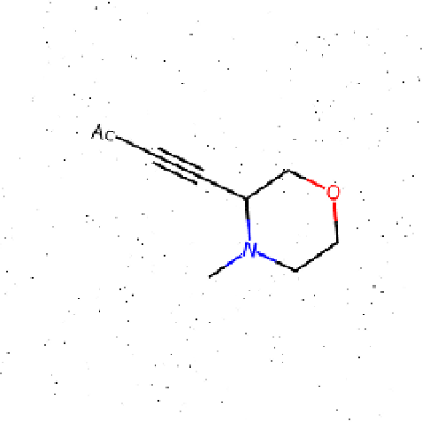 CC(=O)C#CC1COCCN1C